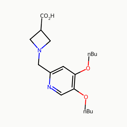 CCCCOc1cnc(CN2CC(C(=O)O)C2)cc1OCCCC